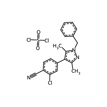 Cc1nn(Cc2ccccc2)c(C)c1-c1ccc(C#N)c(Cl)c1.O=S(=O)(Cl)Cl